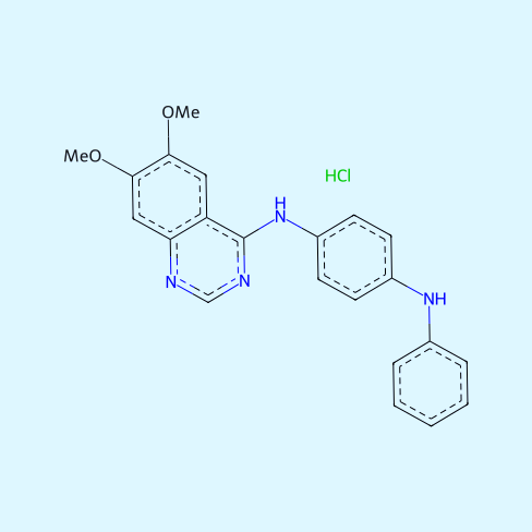 COc1cc2ncnc(Nc3ccc(Nc4ccccc4)cc3)c2cc1OC.Cl